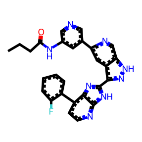 CCCC(=O)Nc1cncc(-c2cc3c(-c4nc5c(-c6ccccc6F)ccnc5[nH]4)n[nH]c3cn2)c1